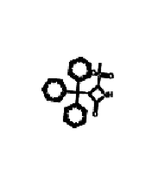 CS(=O)(=O)[C@H]1NC(=O)[C@H]1C(c1ccccc1)(c1ccccc1)c1ccccc1